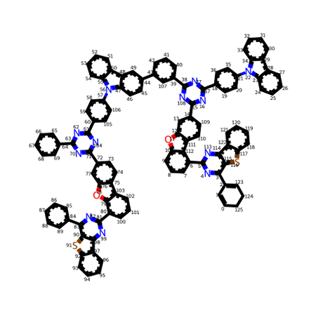 C1=CC(c2nc(-c3cccc4oc5cc(-c6nc(-c7ccc(-n8c9ccccc9c9ccccc98)cc7)nc(-c7cccc(-c8ccc9c(c8)c8ccccc8n9-c8ccc(-c9nc(-c%10ccccc%10)nc(-c%10ccc%11c(c%10)oc%10c(-c%12nc(-c%13ccccc%13)c%13sc%14ccccc%14c%13n%12)cccc%10%11)n9)cc8)c7)n6)ccc5c34)nc3c2sc2ccccc23)=CCC1